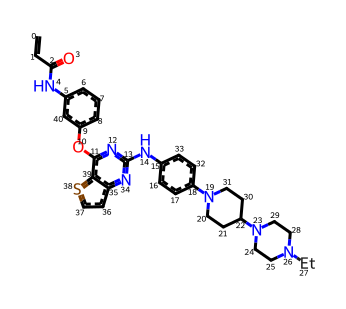 C=CC(=O)Nc1cccc(Oc2nc(Nc3ccc(N4CCC(N5CCN(CC)CC5)CC4)cc3)nc3ccsc23)c1